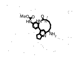 COC(=O)Nc1ccc2c(c1)NC(=O)[C@H](C)CCC[C@H](N)c1cc-2c2c(n1)CCC2